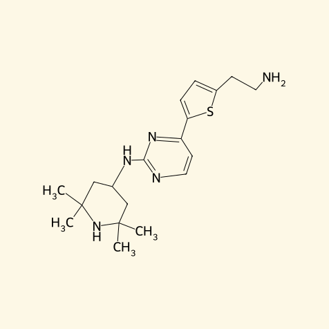 CC1(C)CC(Nc2nccc(-c3ccc(CCN)s3)n2)CC(C)(C)N1